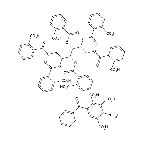 O=C(O)c1cc(C(=O)c2ccccc2)c(C(=O)O)c(C(=O)O)c1C(=O)O.O=C(O)c1ccccc1C(=O)OC[C@H](OC(=O)c1ccccc1C(=O)O)[C@@H](OC(=O)c1ccccc1C(=O)O)[C@H](OC(=O)c1ccccc1C(=O)O)[C@@H](COC(=O)c1ccccc1C(=O)O)OC(=O)c1ccccc1C(=O)O